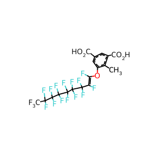 Cc1c(OC(F)=C(F)C(F)(F)C(F)(F)C(F)(F)C(F)(F)C(F)(F)C(F)(F)C(F)(F)F)cc(C(=O)O)cc1C(=O)O